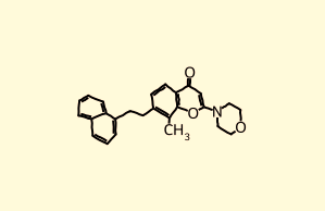 Cc1c(CCc2cccc3ccccc23)ccc2c(=O)cc(N3CCOCC3)oc12